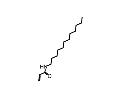 C=CC(=O)NCCCCCCCCCCCC